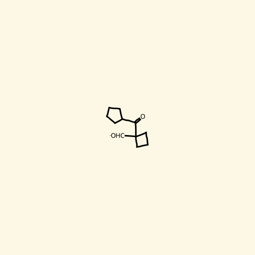 O=[C]C1(C(=O)C2CCCC2)CCC1